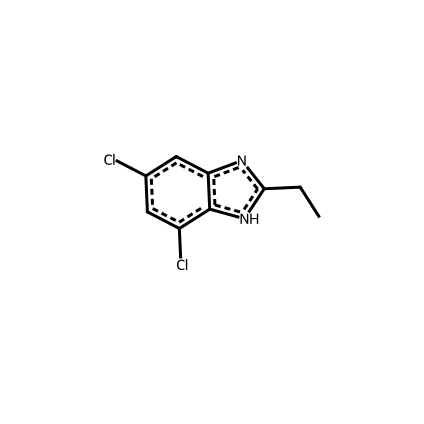 CCc1nc2cc(Cl)cc(Cl)c2[nH]1